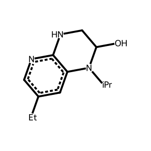 CCc1cnc2c(c1)N(C(C)C)C(O)CN2